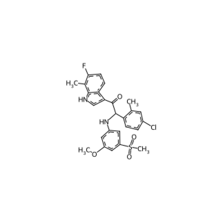 COc1cc(NC(C(=O)c2c[nH]c3c(C)c(F)ccc23)c2ccc(Cl)cc2C)cc(S(C)(=O)=O)c1